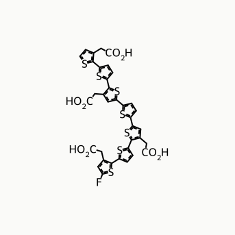 O=C(O)Cc1ccsc1-c1ccc(-c2sc(-c3ccc(-c4cc(CC(=O)O)c(-c5ccc(-c6sc(F)cc6CC(=O)O)s5)s4)s3)cc2CC(=O)O)s1